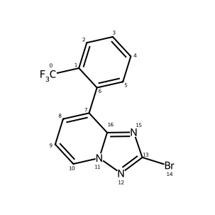 FC(F)(F)c1ccccc1-c1cccn2nc(Br)nc12